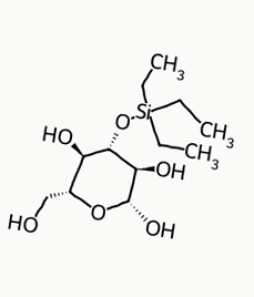 CC[Si](CC)(CC)O[C@@H]1[C@@H](O)[C@H](O)O[C@H](CO)[C@H]1O